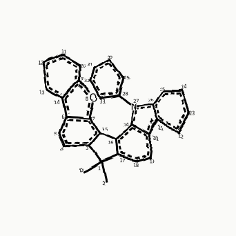 CC1(C)c2ccc3c(oc4ccccc43)c2-c2c1ccc1c3ccccc3n(-c3ccccc3)c21